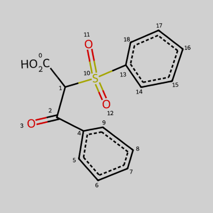 O=C(O)C(C(=O)c1ccccc1)S(=O)(=O)c1ccccc1